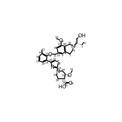 CC[C@@H](CO)N1CCc2cc(COc3c(C)cccc3-c3csc(N4CC[C@@H](C(=O)O)[C@@H](OC)C4)n3)cc(OC)c2C1